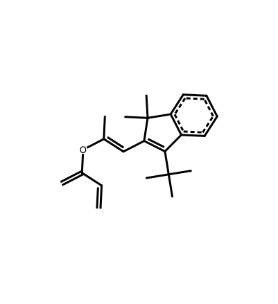 C=CC(=C)O/C(C)=C/C1=C(C(C)(C)C)c2ccccc2C1(C)C